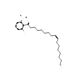 CCCCCCCC/C=C\CCCCCCCC(=O)c1c(F)[c]ccc1[N+](=O)[O-]